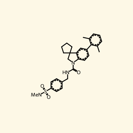 CNS(=O)(=O)c1ccc(CNC(=O)N2CC3(CCCC3)c3cc(-c4c(C)cccc4C)ccc32)cc1